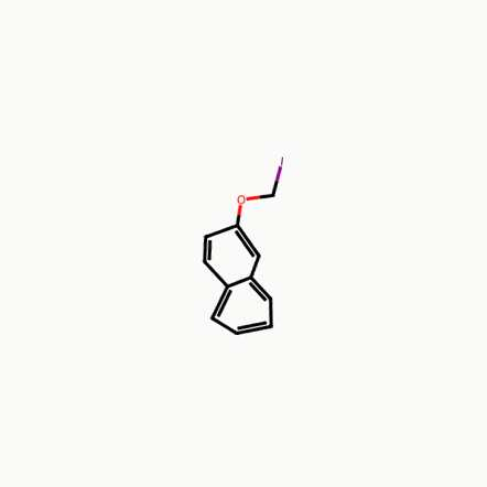 ICOc1ccc2ccccc2c1